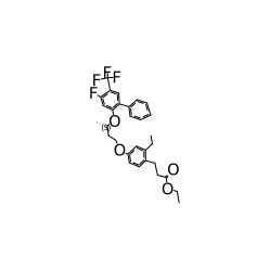 CCOC(=O)CCc1ccc(OCC[C@H](C)Oc2cc(F)c(C(F)(F)F)cc2-c2ccccc2)cc1CC